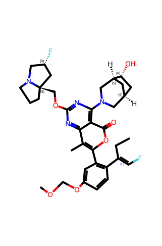 CC/C(=C\F)c1ccc(OCOC)cc1-c1oc(=O)c2c(N3C[C@H]4C[C@@H](C3)[C@H](O)C4)nc(OC[C@@]34CCCN3C[C@H](F)C4)nc2c1C